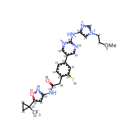 COCCn1cnc(Nc2ncc(-c3ccc(CC(=O)Nc4cc(C5(C(F)(F)F)CC5)on4)c(F)c3)cn2)c1